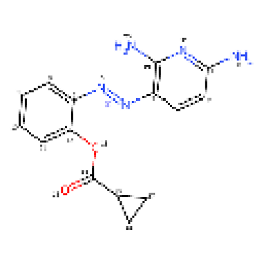 Nc1ccc(/N=N/c2ccccc2OC(=O)C2CC2)c(N)n1